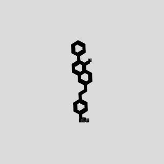 CCCCc1ccc(CCc2ccc3c(F)c(-c4ccccc4)ccc3c2)cc1